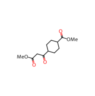 COC(=O)CC(=O)C1CCC(C(=O)OC)CC1